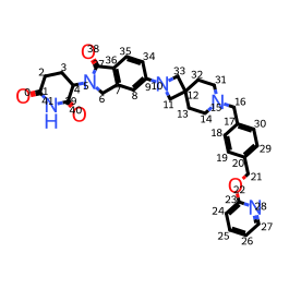 O=C1CCC(N2Cc3cc(N4CC5(CCN(Cc6ccc(COc7ccccn7)cc6)CC5)C4)ccc3C2=O)C(=O)N1